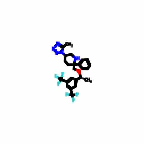 Cc1nnnn1[C@@H]1CC[C@@](CO[C@H](C)c2cc(C(F)(F)F)cc(C(F)(F)F)c2)(c2ccccc2)NC1